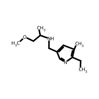 CCc1ncc(CNC(C)COC)cc1C